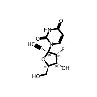 C#C[C@@]1(n2ccc(=O)[nH]c2=O)O[C@H](CO)[C@@H](O)[C@H]1F